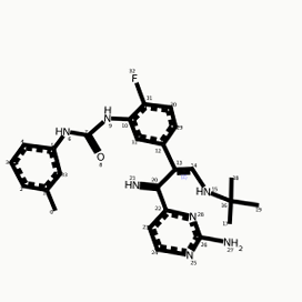 Cc1cccc(NC(=O)Nc2cc(/C(=C/NC(C)(C)C)C(=N)c3ccnc(N)n3)ccc2F)c1